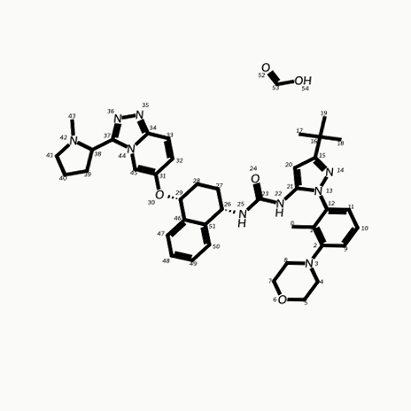 Cc1c(N2CCOCC2)cccc1-n1nc(C(C)(C)C)cc1NC(=O)N[C@H]1CC[C@@H](Oc2ccc3nnc(C4CCCN4C)n3c2)c2ccccc21.O=CO